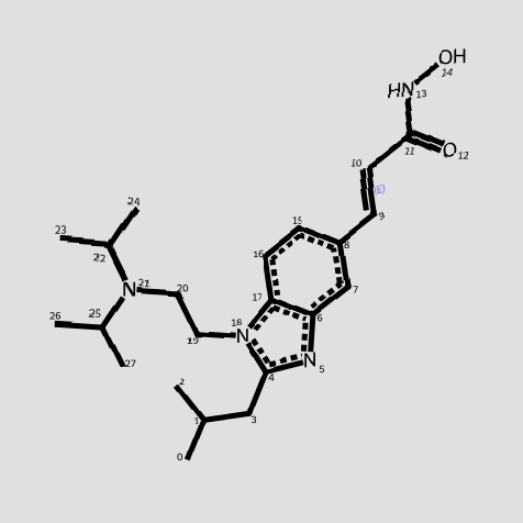 CC(C)Cc1nc2cc(/C=C/C(=O)NO)ccc2n1CCN(C(C)C)C(C)C